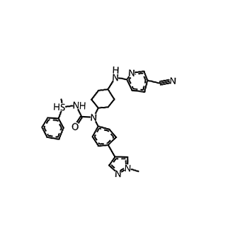 Cn1cc(-c2ccc(N(C(=O)N[SH](C)c3ccccc3)C3CCC(Nc4ccc(C#N)cn4)CC3)cc2)cn1